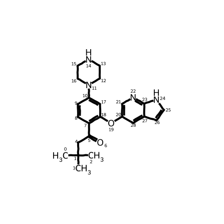 CC(C)(C)CC(=O)c1ccc(N2CCNCC2)cc1Oc1cnc2[nH]ccc2c1